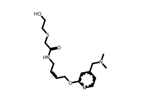 CN(C)Cc1ccnc(OC/C=C\CNC(=O)CSCCO)c1